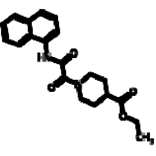 CCOC(=O)C1CCN(C(=O)C(=O)Nc2cccc3ccccc23)CC1